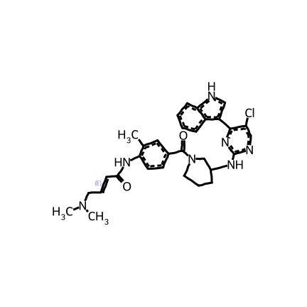 Cc1cc(C(=O)N2CCCC(Nc3ncc(Cl)c(-c4c[nH]c5ccccc45)n3)C2)ccc1NC(=O)/C=C/CN(C)C